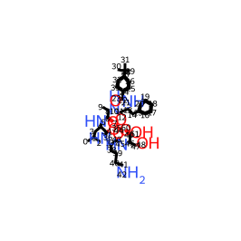 CC(C)CC(NC(=O)C(C)NC(=O)C(Cc1ccccc1)NC(=O)c1ccc(C(C)(C)C)cc1)C(=O)NC(CCCCN)C(=O)NC(CO)C(=O)O